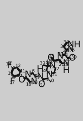 C[C@@H](C(=O)Nc1cnc(Oc2ccc(F)cc2F)cn1)N1CCN(C(=O)c2c[nH]c(=O)c(-c3cc[nH]n3)n2)C(C)(C)C1